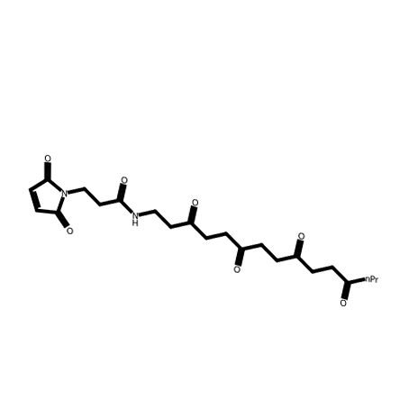 CCCC(=O)CCC(=O)CCC(=O)CCC(=O)CCNC(=O)CCN1C(=O)C=CC1=O